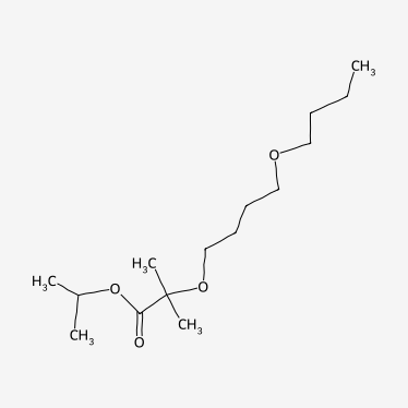 CCCCOCCCCOC(C)(C)C(=O)OC(C)C